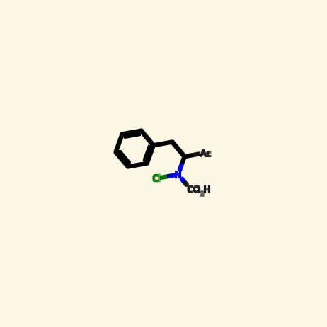 CC(=O)C(Cc1ccccc1)N(Cl)C(=O)O